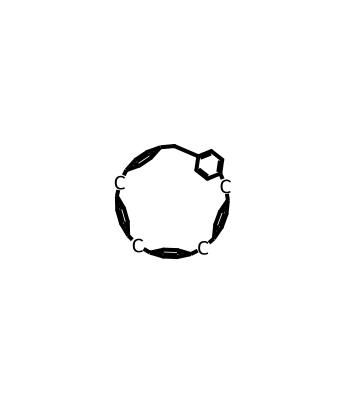 c1cc2ccc1Cc1ccc(cc1)Cc1ccc(cc1)Cc1ccc(cc1)Cc1ccc(cc1)C2